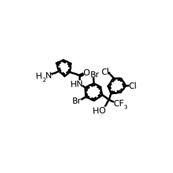 Nc1cccc(C(=O)Nc2c(Br)cc(C(O)(c3cc(Cl)cc(Cl)c3)C(F)(F)F)cc2Br)c1